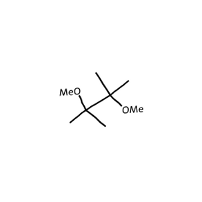 COC(C)(C)C(C)(C)OC